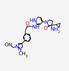 CN1CC(c2cccc(CC3OC3NC3=CC(N4CCC(N)(C5CC5)C4=O)=CCN3)c2)=CN1CN=O